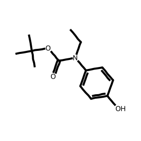 CCN(C(=O)OC(C)(C)C)c1ccc(O)cc1